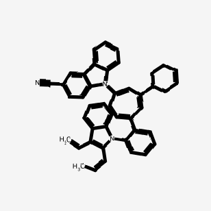 C=Cc1c(/C=C\C)n(-c2ccccc2C2=CCC(n3c4ccccc4c4cc(C#N)ccc43)=CC(C3CC=CCC3)=C2)c2ccccc12